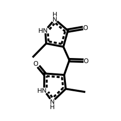 Cc1[nH][nH]c(=O)c1C(=O)c1c(C)[nH][nH]c1=O